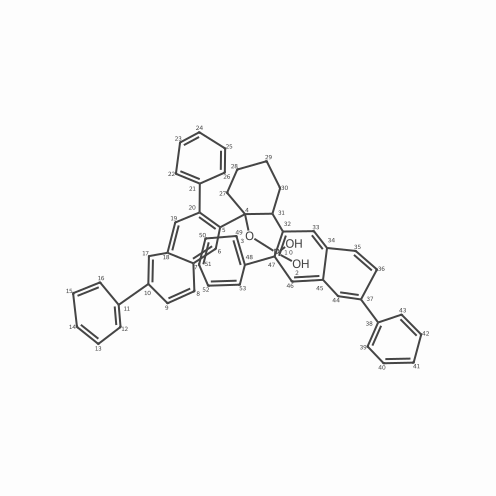 OP(O)OC1(c2cc3ccc(-c4ccccc4)cc3cc2-c2ccccc2)CCCCC1c1cc2ccc(-c3ccccc3)cc2cc1-c1ccccc1